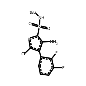 CC(C)(C)NS(=O)(=O)c1sc(Cl)c(-c2cccc(F)c2F)c1N